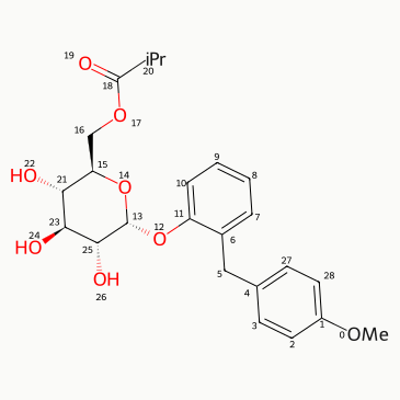 COc1ccc(Cc2ccccc2O[C@H]2O[C@H](COC(=O)C(C)C)[C@@H](O)[C@H](O)[C@H]2O)cc1